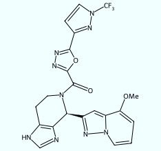 COc1cccn2nc([C@H]3c4nc[nH]c4CCN3C(=O)c3nnc(-c4ccn(C(F)(F)F)n4)o3)cc12